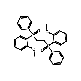 COc1ccccc1P(=O)(CCP(=O)(c1ccccc1)c1ccccc1OC)c1ccccc1